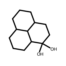 OC1(O)CCC2CCCC3CCCC1C32